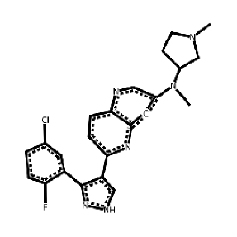 CN1CCC(N(C)c2cnc3ccc(-c4c[nH]nc4-c4cc(Cl)ccc4F)nc3c2)C1